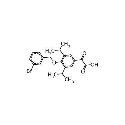 CC(C)c1cc(C(=O)C(=O)O)cc(C(C)C)c1OCc1cccc(Br)c1